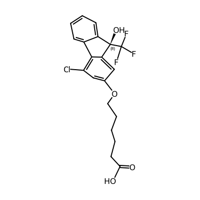 O=C(O)CCCCCOc1cc(Cl)c2c(c1)[C@@](O)(C(F)(F)F)c1ccccc1-2